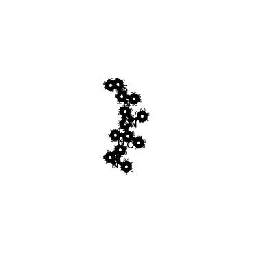 c1ccc(-c2nc3cccc4c5cc(-n6c7ccccc7c7c(-c8ccc9c%10ccc(-n%11c%12ccccc%12c%12c%13sc%14ccc%15ccccc%15c%14c%13ccc%12%11)cc%10c%10c(-c%11ccccc%11)nc8n9%10)cc8c9ccccc9oc8c76)ccc5c2n34)cc1